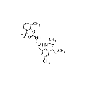 COCc1cc(C)cc(COCNC(=O)Oc2c(C)cccc2C)c1NC(C)=O